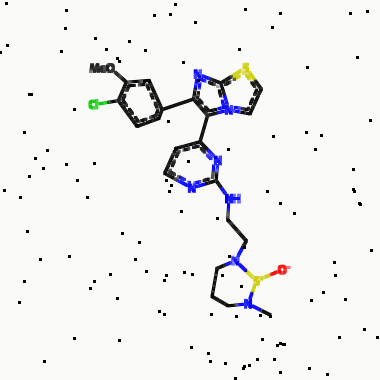 COc1cc(-c2nc3sccn3c2-c2ccnc(NCCN3CCCN(C)[S+]3[O-])n2)ccc1Cl